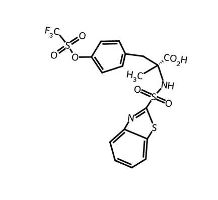 C[C@@](Cc1ccc(OS(=O)(=O)C(F)(F)F)cc1)(NS(=O)(=O)c1nc2ccccc2s1)C(=O)O